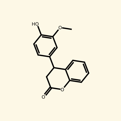 COc1cc(C2CC(=O)Oc3ccccc32)ccc1O